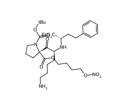 CCOC(=O)[C@H](CCc1ccccc1)N[C@@H](CCCCN)C(=O)[C@@]1(C(=O)OCCCCO[N+](=O)[O-])CCCN1C(=O)OC(C)(C)C